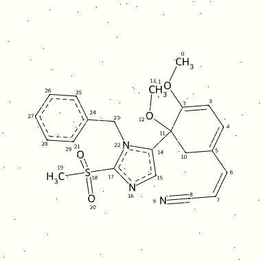 COC1=CC=C(/C=C\C#N)CC1(OC)c1cnc(S(C)(=O)=O)n1Cc1ccccc1